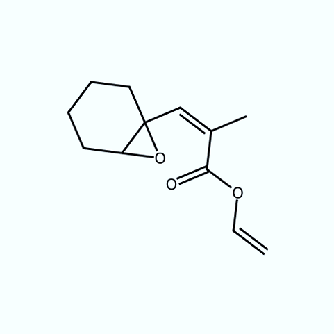 C=COC(=O)C(C)=CC12CCCCC1O2